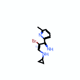 Cc1cccc(C(=N)/C(Br)=C\NC2CC2)n1